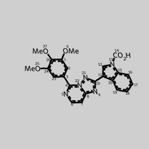 COc1cc(-c2nccc3nc(-c4cn(C(=O)O)c5ccccc45)nn23)cc(OC)c1OC